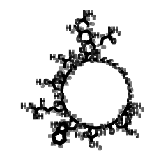 CC(C)C[C@@H]1NC(=O)[C@H](CC(N)=O)NC(=O)C(C)(C)CCCCCCCCCCC[C@@](C)(C(=O)N[C@@H](CCC(N)=O)C(=O)N[C@@H](CC(N)=O)C(N)=O)NN[C@@H](CC(C)C)C(=O)C(=O)[C@H](CC(C)C)NC(=O)[C@H](CCCNC(=N)N)NC(=O)[C@H](Cc2c[nH]c3ccccc23)NC1=O